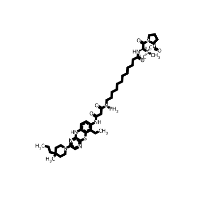 CCCC1(C)CCN(c2cnc3c(n2)Nc2ccc(NC(=O)CC(=O)N(P)CCCCCCCCCCCC(=O)N[C@@H](C(=O)N4CCC[C@@H]4C=O)S(C)(C)C)c(CC)c2S3)CC1